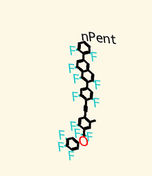 CCCCCc1cc(F)c(-c2cc(F)c3c(F)c(-c4cc(F)c(C#Cc5cc(F)c(C(F)(F)Oc6cc(F)c(F)c(F)c6)cc5C)c(F)c4)c(F)cc3c2)c(F)c1